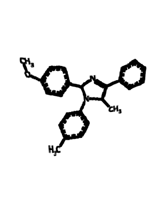 COc1ccc(C2N=C(c3ccccc3)C(C)N2c2ccc(C)cc2)cc1